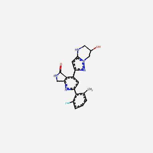 Cc1cccc(F)c1-c1cc(-c2cc3n(n2)CC(O)CN3)c2c(n1)CNC2=O